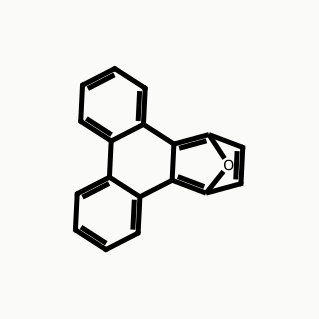 c1ccc2c(c1)c1ccccc1c1c3ccc(o3)c21